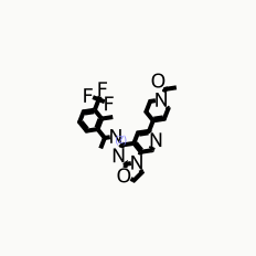 CC(=O)N1CC=C(c2cc3/c(=N/C(C)c4cccc(C(F)(F)F)c4C)nc4n(c3cn2)CCO4)CC1